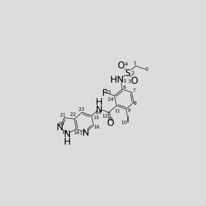 CCS(=O)(=O)Nc1ccc(I)c(C(=O)Nc2cnc3[nH]ncc3c2)c1F